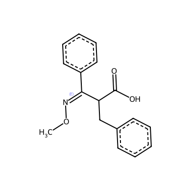 CO/N=C(/c1ccccc1)C(Cc1ccccc1)C(=O)O